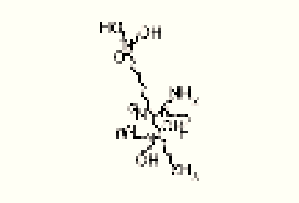 CCCCCC(C(O)CC(C(CCCCCCCC(=O)N(CCO)CCO)N=O)N(CCN)CCO)N(CCO)CCN=O